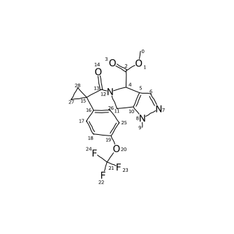 COC(=O)C1c2cnn(C)c2CN1C(=O)C1(c2ccc(OC(F)(F)F)cc2)CC1